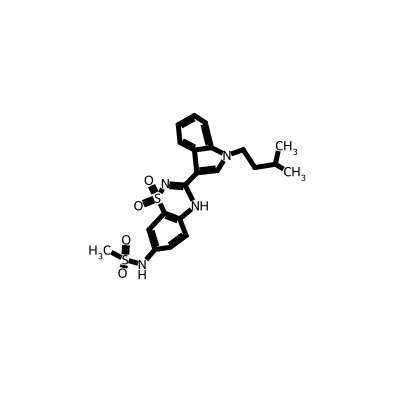 CC(C)CCn1cc(C2=NS(=O)(=O)c3cc(NS(C)(=O)=O)ccc3N2)c2ccccc21